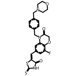 O=C1NC(=S)S/C1=C/c1cc(F)c2c(c1)N(Cc1ccc(CN3CCOCC3)cc1)C(=O)CO2